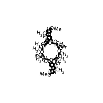 COc1cnc(C(C)(F)c2ccc(C[C@H]3OC(=O)[C@H](CC(C)C)N(C)C(=O)[C@@H](C)OC(=O)[C@H](CC(C)C)N(C)C(=O)[C@@H](Cc4ccc(C(C)(F)c5cnc(OC)cn5)cc4)OC(=O)[C@H](CC(C)C)N(C)C(=O)[C@@H](C)OC(=O)[C@H](CC(C)C)N(C)C3=O)cc2)cn1